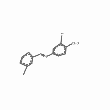 Cc1cccc(N=Nc2ccc(C=O)c(Cl)c2)c1